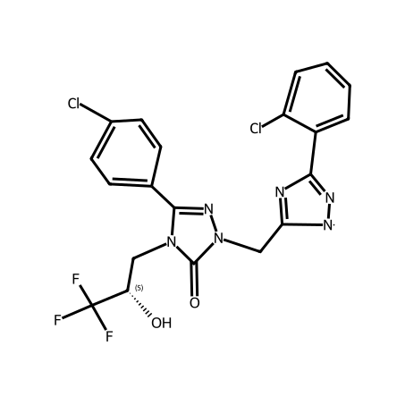 O=c1n(CC2=NC(c3ccccc3Cl)=N[N]2)nc(-c2ccc(Cl)cc2)n1C[C@H](O)C(F)(F)F